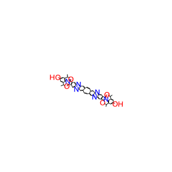 CC(C)c1cc(O)cc(C(C)C)c1-n1c(=O)c2cc3nc4cc5ccc6cc7nc8cc9c(=O)n(-c%10c(C(C)C)cc(O)cc%10C(C)C)c(=O)c9cc8nc7cc6ccc5cc4nc3cc2c1=O